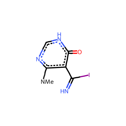 CNc1nc[nH]c(=O)c1C(=N)I